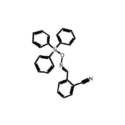 N#Cc1ccccc1/C=N/O[Si](c1ccccc1)(c1ccccc1)c1ccccc1